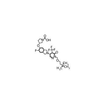 C[Si](C)(C)CCOCn1ncc(N2Cc3cc(F)c(OC4CCN(C(=O)O)C4)cc3C2)c(C(F)(F)F)c1=O